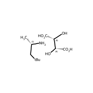 C[C@H](N)CC(C)(C)C.O=C(O)[C@H](O)[C@@H](O)C(=O)O